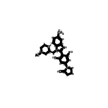 CC(=O)N1CCO[C@@H](Cn2c(-c3c(F)cc(N4CCCC4=O)cc3F)nc3cc(C)ccc32)C1